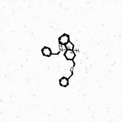 c1ccc(CN[C@@]23CCC(COCc4ccccc4)C[C@@H]2Cc2ccccc23)cc1